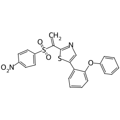 C=C(c1ncc(-c2ccccc2Oc2ccccc2)s1)S(=O)(=O)c1ccc([N+](=O)[O-])cc1